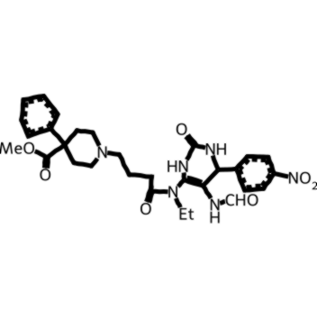 CCN(C(=O)CCCN1CCC(C(=O)OC)(c2ccccc2)CC1)C1=C(NC=O)C(c2ccc([N+](=O)[O-])cc2)NC(=O)N1